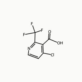 O=C(O)c1c(Cl)ccnc1C(F)(F)F